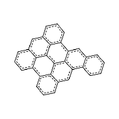 c1ccc2c(c1)cc1c3cccc4cc5cccc6c7cccc8cc2c1c(c87)c(c56)c43